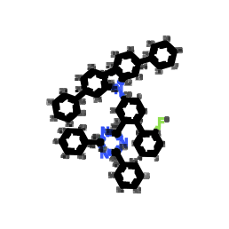 Fc1ccccc1-c1ccc(-n2c3cc(-c4ccccc4)ccc3c3ccc(-c4ccccc4)cc32)cc1-c1nc(-c2ccccc2)nc(-c2ccccc2)n1